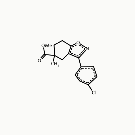 COC(=O)C1(C)CCc2onc(-c3ccc(Cl)cc3)c2C1